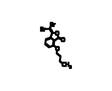 CCCCOc1cccc2c1C(=O)OC2=C(Br)Br